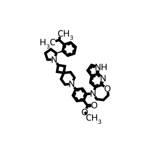 COC(=O)c1ccc(N2CCC3(CC2)CC(N2CCC[C@H]2c2ccccc2C(C)C)C3)cc1N1CCCOc2nc3[nH]ccc3cc21